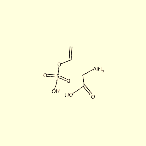 C=COS(=O)(=O)O.O=C(O)[CH2][AlH2]